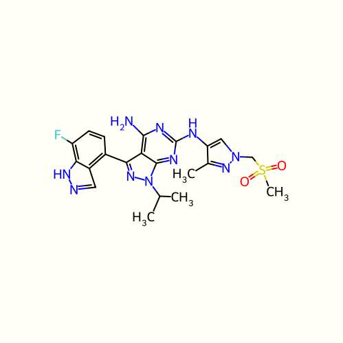 Cc1nn(CS(C)(=O)=O)cc1Nc1nc(N)c2c(-c3ccc(F)c4[nH]ncc34)nn(C(C)C)c2n1